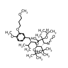 COCCCOc1cc(C[C@@H](C[C@H](OC(C)(C)C)[C@H](C(N=C=O)[C@@](C)(O[SiH](C)C)C(=O)O)C(C)(C)C)C(C)C)ccc1OC